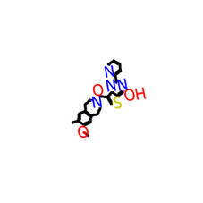 COc1cc2c(cc1C)CCN(C(=O)c1csc3c(O)nc(-c4ccccn4)nc13)CC2